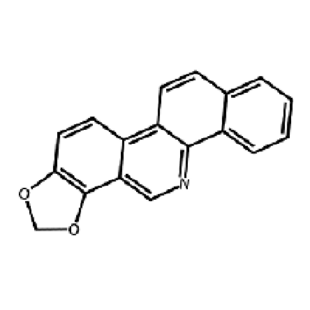 c1ccc2c(c1)ccc1c3ccc4c(c3cnc21)OCO4